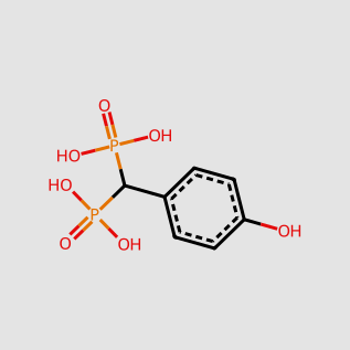 O=P(O)(O)C(c1ccc(O)cc1)P(=O)(O)O